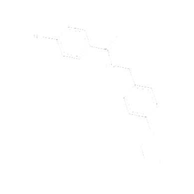 N#Cc1ccc(C(=O)NCc2ccc(OCC(=O)O)cc2)cc1